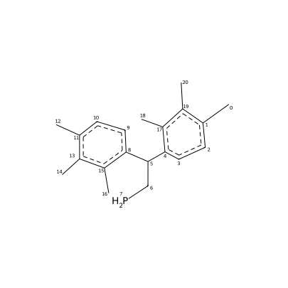 Cc1ccc(C(CP)c2ccc(C)c(C)c2C)c(C)c1C